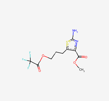 COC(=O)c1nc(N)sc1CCCOC(=O)C(F)(F)F